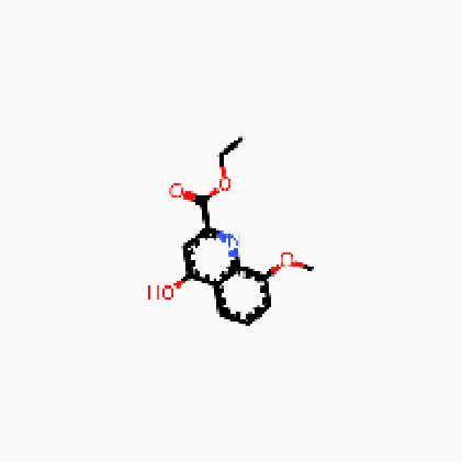 CCOC(=O)c1cc(O)c2cccc(OC)c2n1